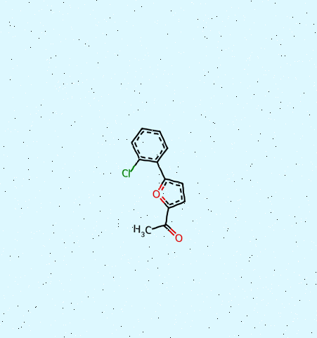 CC(=O)c1ccc(-c2ccccc2Cl)o1